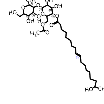 CC(=O)OCC1O[C@@H](OC2[C@H](C)OC(CO)[C@@H](O)[C@@H]2O)C(O)[C@@H](O)[C@@H]1OC(=O)CCCCCCC/C=C/CCCCCCC(C)O